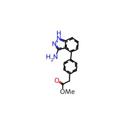 COC(=O)Cc1ccc(-c2cccc3[nH]nc(N)c23)cc1